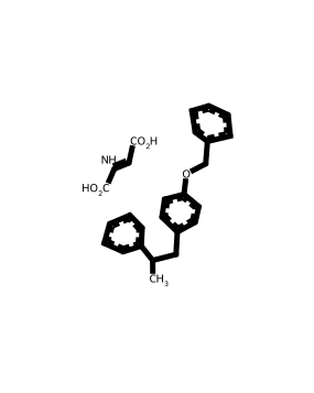 CC(Cc1ccc(OCc2ccccc2)cc1)c1ccccc1.N.O=C(O)C=CC(=O)O